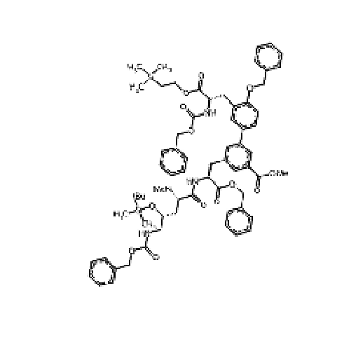 CN[C@@H](C[C@H](CNC(=O)OCc1ccccc1)O[Si](C)(C)C(C)(C)C)C(=O)N[C@@H](Cc1cc(C(=O)OC)cc(-c2ccc(OCc3ccccc3)c(C[C@H](NC(=O)OCc3ccccc3)C(=O)OCC[Si](C)(C)C)c2)c1)C(=O)OCc1ccccc1